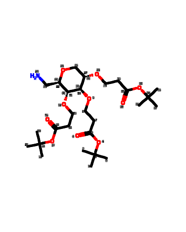 CC(C)(C)OC(=O)CCO[C@H]1[C@H](OCCC(=O)OC(C)(C)C)[C@@H](CN)OC[C@@H]1OCCC(=O)OC(C)(C)C